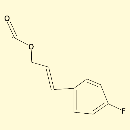 O=[C]OCC=Cc1ccc(F)cc1